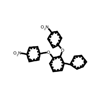 O=[N+]([O-])c1ccc(Oc2cccc(-c3ccccc3)c2Oc2ccc([N+](=O)[O-])cc2)cc1